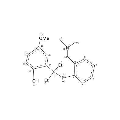 CCC(CC)(Pc1ccccc1CN(C)C)c1cc(OC)ccc1O